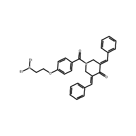 CCN(CC)CCOc1ccc(C(=O)N2CC(=Cc3ccccc3)C(=O)C(=Cc3ccccc3)C2)cc1